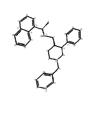 C[C@@H](NCC1CCN(Cc2cccnc2)CC1c1ccccc1)c1cccc2ccccc12